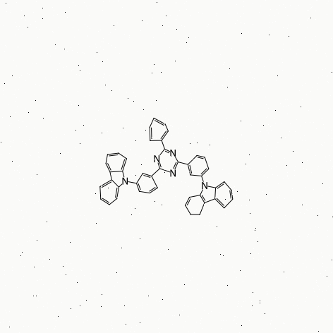 C1=Cc2c(c3ccccc3n2-c2cccc(-c3nc(-c4ccccc4)nc(-c4cccc(-n5c6ccccc6c6ccccc65)c4)n3)c2)CC1